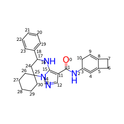 O=C(NC1=C=C2CCC2=CC1)c1cnn2c1NC(c1ccccc1)CC21CCCCC1